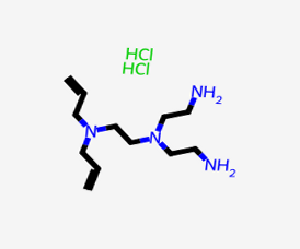 C=CCN(CC=C)CCN(CCN)CCN.Cl.Cl